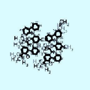 COCCN(c1ccccc1-c1cc(C)cc(C(C)(C)C)c1[O-])c1cc(C)cc(-n2c3ccccc3c3ccccc32)c1O.COCCN(c1ccccc1-c1cc(C)cc(C(C)(C)C)c1[O-])c1cc(C)cc(-n2c3ccccc3c3ccccc32)c1O.[CH3][Hf+2][CH3]